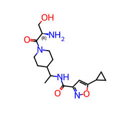 CC(NC(=O)c1cc(C2CC2)on1)C1CCN(C(=O)[C@H](N)CO)CC1